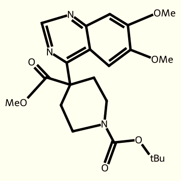 COC(=O)C1(c2ncnc3cc(OC)c(OC)cc23)CCN(C(=O)OC(C)(C)C)CC1